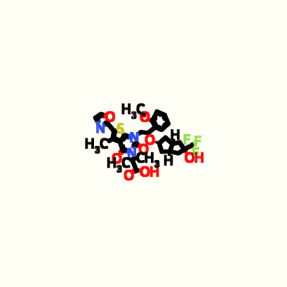 COc1ccccc1C(Cn1c(=O)n(C(C)(C)C(=O)O)c(=O)c2c(C)c(-c3ncco3)sc21)O[C@@H]1C[C@@H]2CC(O)(C(F)(F)F)C[C@@H]2C1